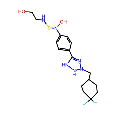 OCCNSN(O)c1ccc(C2=NN(CC3CCC(F)(F)CC3)NN2)cc1